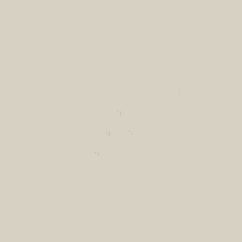 CC1=CN2C(c3ccc(Cl)cc3)=NON(c3ccc(C)cn3)C2C=C1